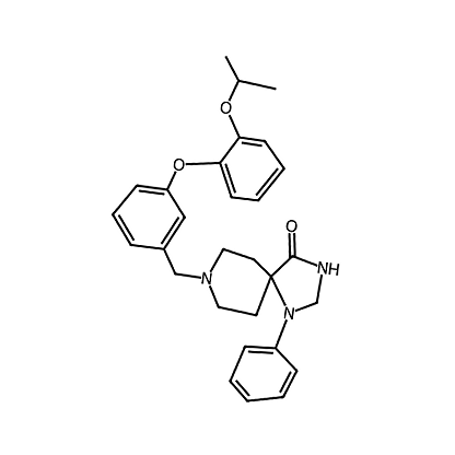 CC(C)Oc1ccccc1Oc1cccc(CN2CCC3(CC2)C(=O)NCN3c2ccccc2)c1